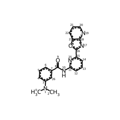 CN(C)c1cccc(C(=O)Nc2cccc(-c3nc4ncccc4o3)n2)c1